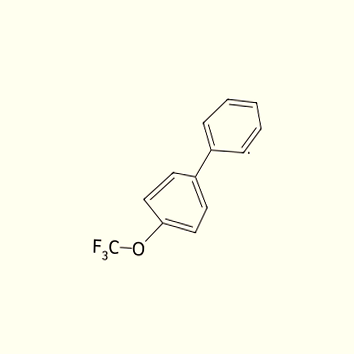 FC(F)(F)Oc1ccc(-c2[c]cccc2)cc1